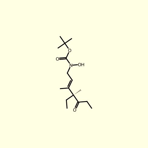 CCC(=O)[C@@](C)(CC)/C(C)=C/CN(O)C(=O)OC(C)(C)C